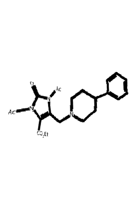 CCOC(=O)c1c(CN2CCC(c3ccccc3)CC2)n(C(C)=O)c(=O)n1C(C)=O